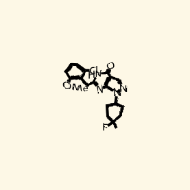 COc1cccc(Cl)c1Cc1nc2c(cnn2C2CCC(C)(F)CC2)c(=O)[nH]1